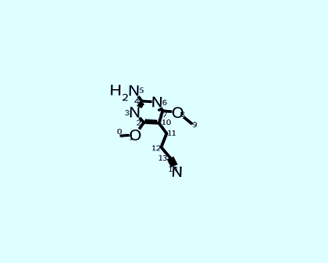 COc1nc(N)nc(OC)c1CCC#N